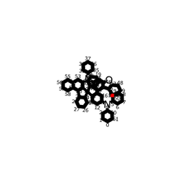 c1ccc(N(c2ccccc2)c2ccc3c(c2)-c2ccccc2C32c3ccccc3-c3c2c(N(c2ccccc2)c2ccc4c(c2)oc2ccccc24)cc2ccccc32)cc1